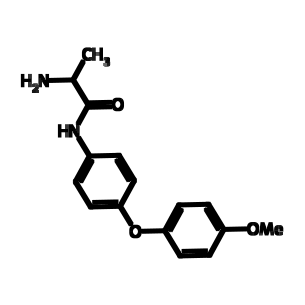 COc1ccc(Oc2ccc(NC(=O)C(C)N)cc2)cc1